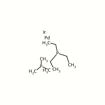 CCP(CC)CC.CP(C)C.[Ir].[Pd]